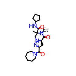 CCN1C(=O)c2cc(C(=O)N3CCCCCC3)nn2CC1(C)C(=O)NC1CCCC1